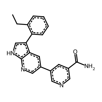 CCc1ccccc1-c1c[nH]c2ncc(-c3cncc(C(N)=O)c3)cc12